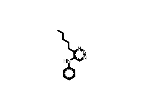 CCCCCc1nnncc1Nc1ccccc1